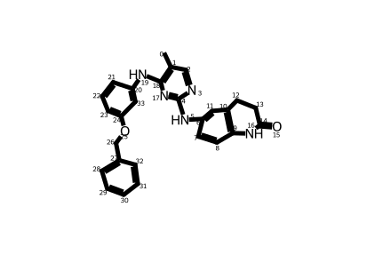 Cc1cnc(Nc2ccc3c(c2)CCC(=O)N3)nc1Nc1cccc(OCc2ccccc2)c1